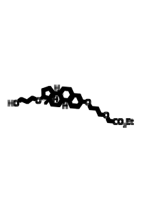 CCOC(=O)COCCCOc1ccc2c(c1)CC[C@@H]1[C@@H]2CC[C@]2(C)[C@@H](OCCCO)CC[C@@H]12